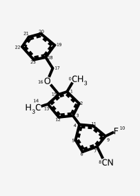 Cc1cc(-c2ccc(C#N)c(F)c2)cc(C)c1OCc1ccccc1